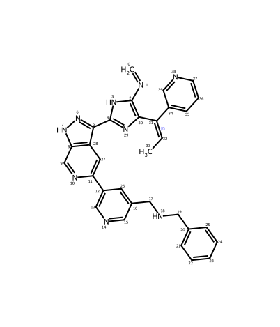 C=Nc1[nH]c(-c2n[nH]c3cnc(-c4cncc(CNCc5ccccc5)c4)cc23)nc1/C(=C\C)c1cccnc1